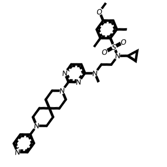 COc1cc(C)c(S(=O)(=O)N(CCN(C)c2ccnc(N3CCC4(CCN(c5ccncc5)CC4)CC3)n2)C2CC2)c(C)c1